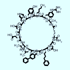 CCCCC[C@@H]1NC(=O)[C@H](Cc2cccc(NC(=N)N)c2)NC(=O)[C@H](C)NC(=O)CSC[C@@H](C(N)=O)NC(=O)[C@H](CC(=O)O)NC(=O)[C@H](CCCCc2ccccc2)NC(=O)[C@H](Cc2ccc(-c3ccccc3)cc2)N(C)C(=O)[C@H](CC(C)C)NC(=O)[C@H](C(C)C)NC(=O)[C@H](CCC(=O)O)NC(=O)[C@H](CC(=O)O)NC(=O)[C@H](Cc2c[nH]cn2)NC(=O)[C@H](Cc2ccc(O)cc2)NC1=O